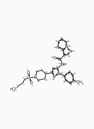 CCCCS(=O)(=O)N1CCC(c2cc(NC(=O)c3cnn4cccnc34)n(-c3ccc(C)cc3)n2)CC1